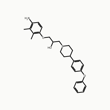 Cc1c(N)ccc(OCC(O)CN2CCC(c3ccc(Oc4ccccc4)cc3)CC2)c1C